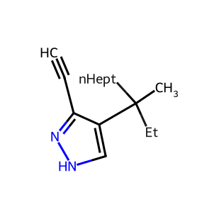 C#Cc1n[nH]cc1C(C)(CC)CCCCCCC